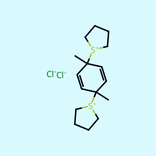 CC1([S+]2CCCC2)C=CC(C)([S+]2CCCC2)C=C1.[Cl-].[Cl-]